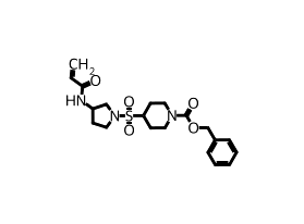 C=CC(=O)NC1CCN(S(=O)(=O)C2CCN(C(=O)OCc3ccccc3)CC2)C1